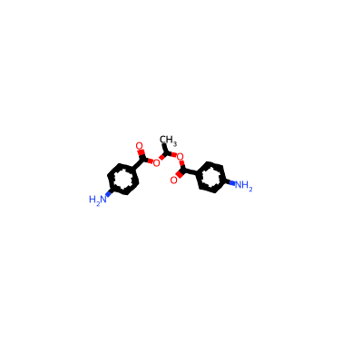 CC(OC(=O)c1ccc(N)cc1)OC(=O)c1ccc(N)cc1